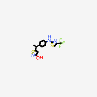 CC(c1ccc(Nc2nc(C(F)(F)F)cs2)cc1)c1cc(O)ns1